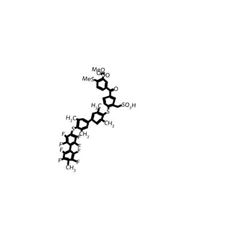 COS(=O)(=O)c1cc(C(=O)c2ccc(Sc3c(C)cc(-c4cc(C)c(Sc5c(F)c(F)c(-c6c(F)c(F)c(C)c(F)c6F)c(F)c5F)c(C)c4)cc3C)c(CS(=O)(=O)O)c2)ccc1SC